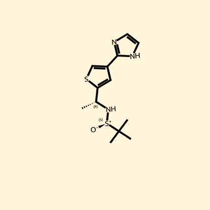 C[C@@H](N[S@+]([O-])C(C)(C)C)c1cc(-c2ncc[nH]2)cs1